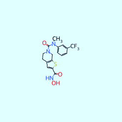 CN(C(=O)N1CCc2cc(C(=O)NO)sc2C1)c1cccc(C(F)(F)F)c1